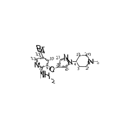 CN1CCC(n2cc(Oc3cc(Br)cnc3N)cn2)CC1